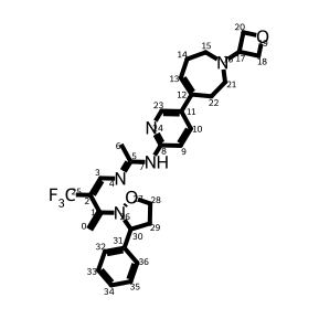 C=C(/C(=C\N=C(/C)Nc1ccc(C2=CCCN(C3COC3)CC2)cn1)C(F)(F)F)N1OCCC1c1ccccc1